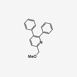 COCc1ccc(-c2ccccc2)c(-c2ccccc2)n1